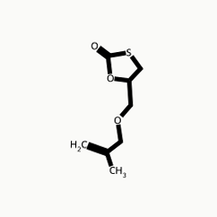 C=C(C)COCC1CSC(=O)O1